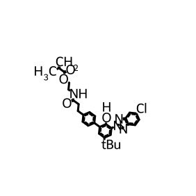 C=C(C)C(=O)OCCNC(=O)CCc1ccc(-c2cc(C(C)(C)C)cc(-n3nc4ccc(Cl)cc4n3)c2O)cc1